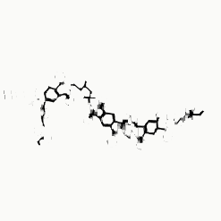 C=CC(=O)OCCOC(=O)c1cc2c(cc1C(=O)O)C(=O)N(CCC(C)CC(C)(C)Cn1c(=O)c3cc4c(=O)n(CN5C(=O)c6cc(C(=O)O)c(C(=O)OCCOC(=O)C=C)cc6C5=O)c(=O)c4cc3c1=O)C2=O